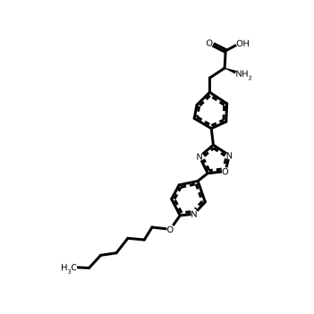 CCCCCCCOc1ccc(-c2nc(-c3ccc(C[C@H](N)C(=O)O)cc3)no2)cn1